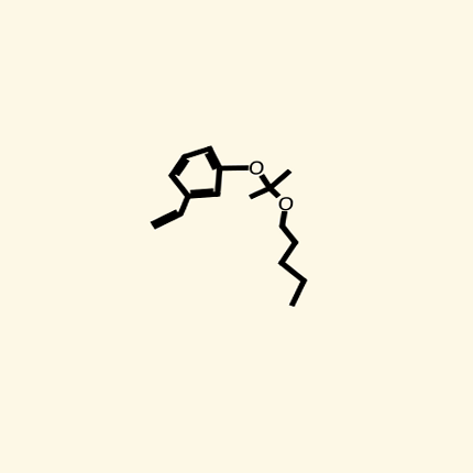 C=Cc1cccc(OC(C)(C)OCCCCC)c1